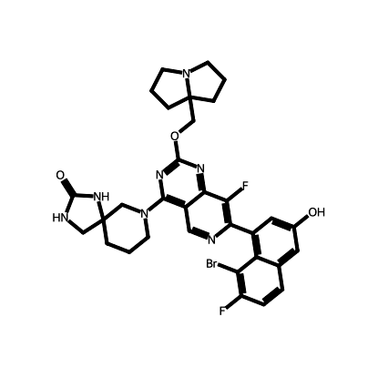 O=C1NCC2(CCCN(c3nc(OCC45CCCN4CCC5)nc4c(F)c(-c5cc(O)cc6ccc(F)c(Br)c56)ncc34)C2)N1